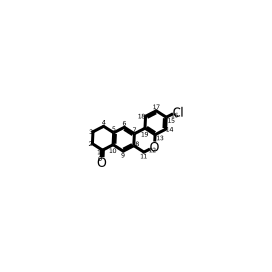 O=C1CCCc2cc3c(cc21)COc1cc(Cl)ccc1-3